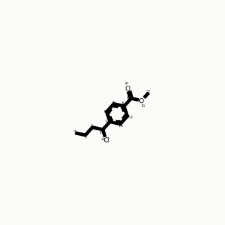 CCCC(Cl)c1ccc(C(=O)OC)cc1